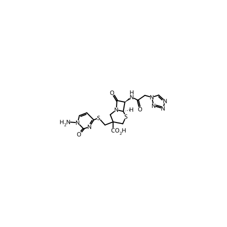 Nn1ccc(SCC2(C(=O)O)CS[C@@H]3[C@H](NC(=O)Cn4cnnn4)C(=O)N3C2)nc1=O